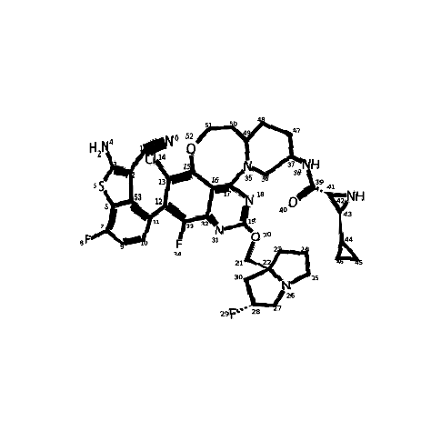 N#Cc1c(N)sc2c(F)ccc(-c3c(Cl)c4c5c(nc(OC[C@@]67CCCN6C[C@H](F)C7)nc5c3F)N3CC(NC(=O)[C@@H]5N[C@H]5C5CC5)CCC3CCO4)c12